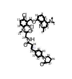 Cc1cc(N(C)C)c2cccc(OCc3c(Cl)ccc(N(C)C(=O)CNC(=O)/C=C/c4ccc(N5CCCC5=O)cc4)c3Cl)c2n1